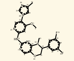 COc1cc(Nc2ncc3c(n2)N(C)C(c2cc(F)cc(F)c2)CO3)ncc1-n1cnc(C)c1